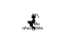 CCCCCC(=CC(=O)OC)c1ccc(-n2cncn2)c(-c2nc3cc(-c4cnc(N)nc4)ccc3n2C(C)(C)C)c1